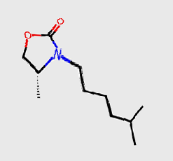 CC(C)CCCCN1C(=O)OC[C@H]1C